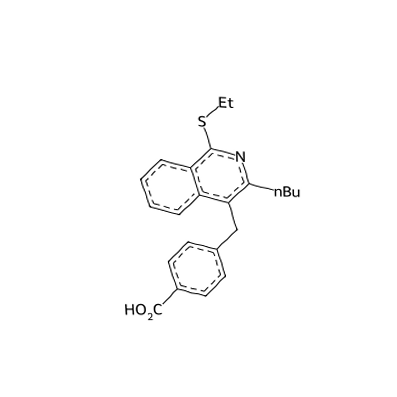 CCCCc1nc(SCC)c2ccccc2c1Cc1ccc(C(=O)O)cc1